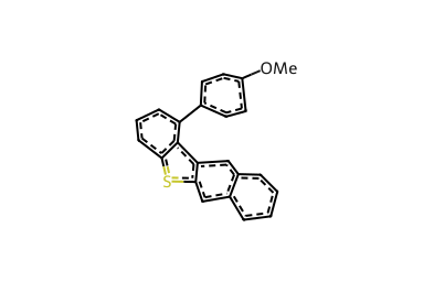 COc1ccc(-c2cccc3sc4cc5ccccc5cc4c23)cc1